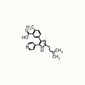 Cc1ccc(-c2nc(CCN(C)C)[nH]c2-c2ccncc2)cc1C(=O)O